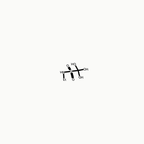 CCNS(=O)(=O)C(O)(O)O